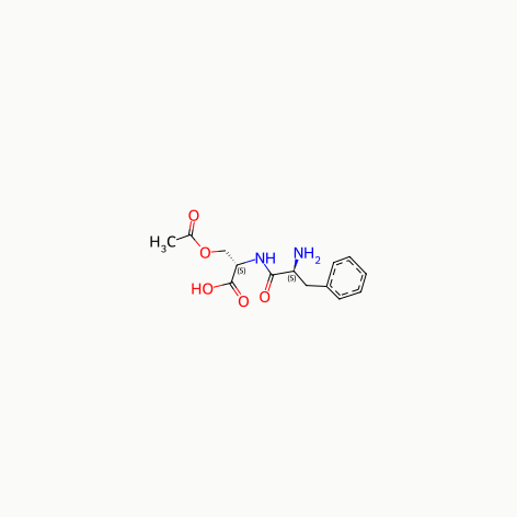 CC(=O)OC[C@H](NC(=O)[C@@H](N)Cc1ccccc1)C(=O)O